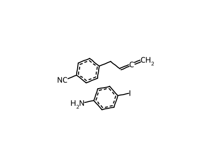 C=C=CCc1ccc(C#N)cc1.Nc1ccc(I)cc1